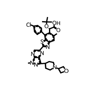 Cc1cc2nc(-c3cnc4c(n3)c(C3CCN(C5COC5)CC3)nn4C)sc2c(-c2ccc(Cl)cc2)c1[C@H](OC(C)(C)C)C(=O)O